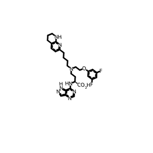 O=C(O)[C@H](CCN(CCCCc1ccc2c(n1)NCCC2)CCOc1cc(F)cc(F)c1)Nc1ncnc2cn[nH]c12